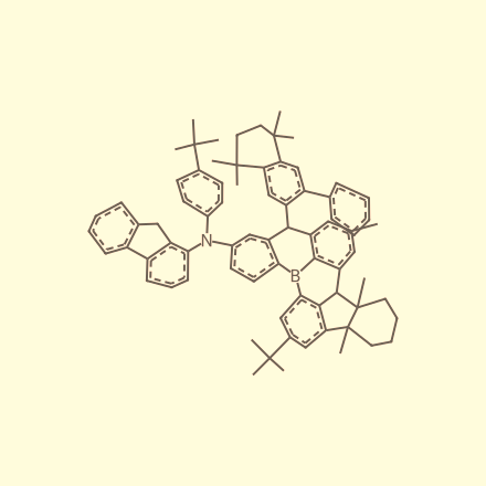 Cc1cc2c3c(c1)C1c4c(cc(C(C)(C)C)cc4C4(C)CCCCC14C)B3c1ccc(N(c3ccc(C(C)(C)C)cc3)c3cccc4c3Cc3ccccc3-4)cc1C2c1cc2c(cc1-c1ccccc1)C(C)(C)CCC2(C)C